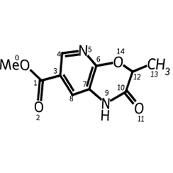 COC(=O)c1cnc2c(c1)NC(=O)C(C)O2